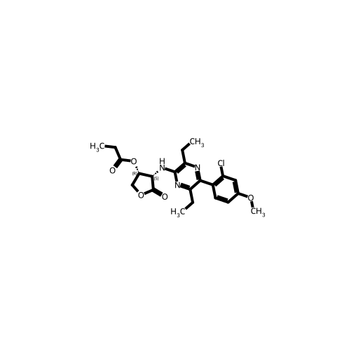 CCC(=O)O[C@H]1COC(=O)[C@H]1Nc1nc(CC)c(-c2ccc(OC)cc2Cl)nc1CC